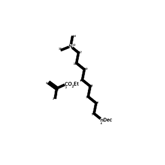 C=C(C)C(=O)OCC.CCCCCCCCCCCCCCCCCCN(C)C